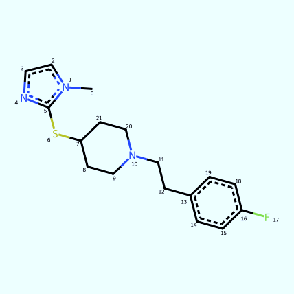 Cn1ccnc1SC1CCN(CCc2ccc(F)cc2)CC1